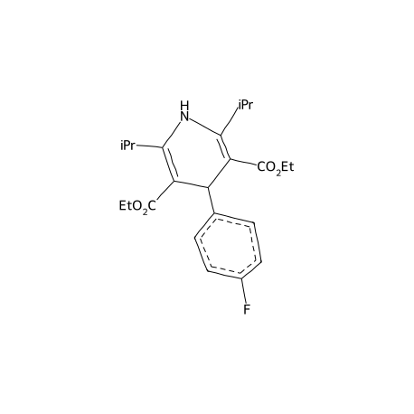 CCOC(=O)C1=C(C(C)C)NC(C(C)C)=C(C(=O)OCC)C1c1ccc(F)cc1